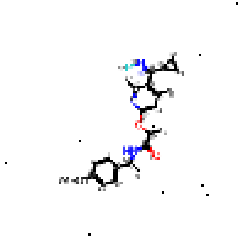 COc1ccc([C@H](C)NC(=O)C(C)Oc2cc(C)c(/C(=N\F)C3CC3)c(C)n2)cc1